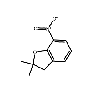 CC1(C)Cc2cccc([N+](=O)[O-])c2O1